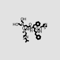 CC(C)c1nc(CN(C)C(=O)NC(CCN(CCO)CCO)C(=O)NC(CCC(Cc2ccccc2)NC(=O)OCc2cncs2)Cc2ccccc2)cs1